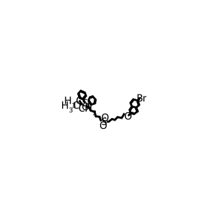 CC(C)(C)[Si](OCCCCCCS(=O)(=O)CCCCCCOc1ccc2cc(Br)ccc2c1)(c1ccccc1)c1ccccc1